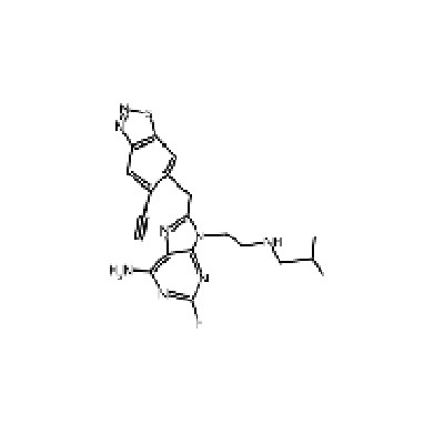 C#Cc1cc2nnsc2cc1Cc1nc2c(N)nc(F)nc2n1CCNCC(C)C